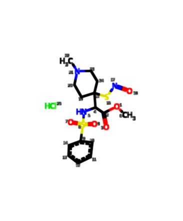 COC(=O)C(NS(=O)(=O)c1ccccc1)C1(SN=O)CCN(C)CC1.Cl